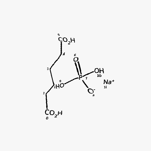 O=C(O)CCCCC(=O)O.O=P([O-])(O)O.[Na+]